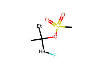 CCC(C)(BF)OS(C)(=O)=O